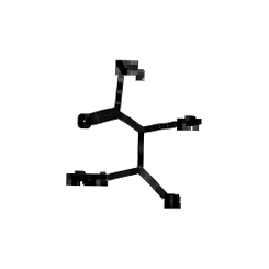 CCCCCC(CC)C(CCC)C(N)=O